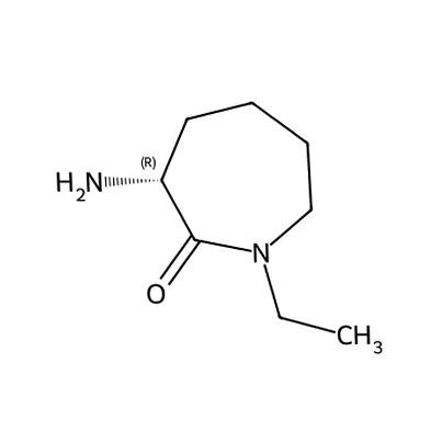 CCN1CCCC[C@@H](N)C1=O